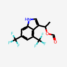 CC(OC=O)c1c[nH]c2cc(C(F)(F)F)cc(C(F)(F)F)c12